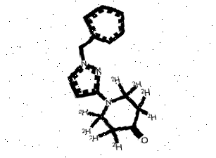 [2H]C1([2H])C(=O)C([2H])([2H])C([2H])([2H])N(c2ccn(Cc3ccccc3)n2)C1([2H])[2H]